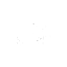 CC(=O)NC1C(CCCCCC(=O)ON2C(=O)CCC2=O)OC(COC(C)=O)C(OC(C)=O)C1OC(C)=O